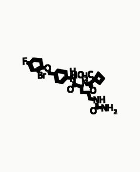 NC(=O)NCCCC(NC(=O)C1(C(=O)O)CCC1)C(=O)Nc1ccc(COc2ccc(F)cc2Br)cc1